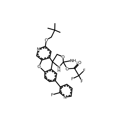 CC(C)(C)COc1cc2c(cn1)Oc1ccc(-c3cccnc3F)cc1C21COC(N)(OC(=O)C(F)(F)F)N1